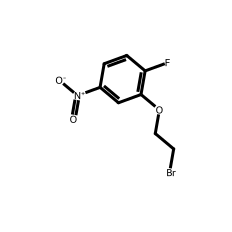 O=[N+]([O-])c1ccc(F)c(OCCBr)c1